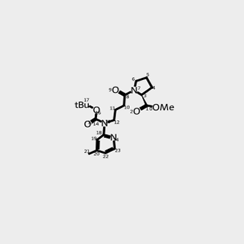 COC(=O)[C@@H]1CCCN1C(=O)CCCN(C(=O)OC(C)(C)C)c1cc(C)ccn1